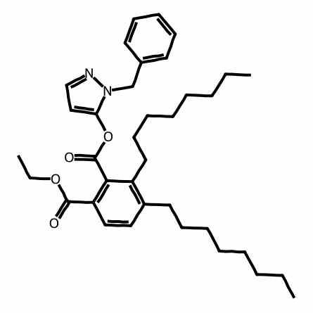 CCCCCCCCc1ccc(C(=O)OCC)c(C(=O)Oc2ccnn2Cc2ccccc2)c1CCCCCCCC